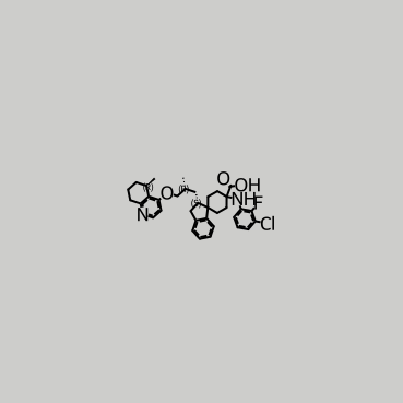 C[C@@H](COc1ccnc2c1[C@H](C)CCC2)C[C@H]1Cc2ccccc2C12CCC(Nc1cccc(Cl)c1F)(C(=O)O)CC2